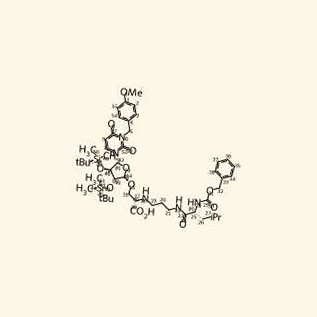 COc1ccc(Cn2c(=O)ccn([C@@H]3O[C@@H](OC[C@H](NCCCNC(=O)[C@@H](CC(C)C)NC(=O)OCc4ccccc4)C(=O)O)[C@H](O[Si](C)(C)C(C)(C)C)[C@H]3O[Si](C)(C)C(C)(C)C)c2=O)cc1